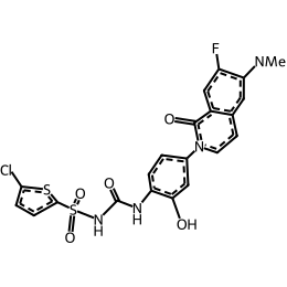 CNc1cc2ccn(-c3ccc(NC(=O)NS(=O)(=O)c4ccc(Cl)s4)c(O)c3)c(=O)c2cc1F